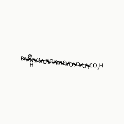 O=C(O)CCOCCOCCOCCOCCOCCOCCOCCOCCNC(=O)CBr